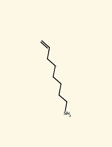 C=CC[CH]CCCC[SiH3]